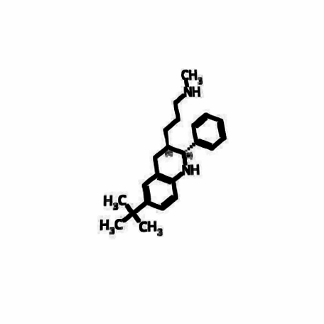 CNCCC[C@@H]1Cc2cc(C(C)(C)C)ccc2N[C@H]1c1ccccc1